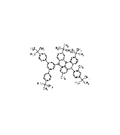 Cc1cc2c3c(c1)N(c1ccc(C(C)(C)C)cc1C)c1ccc(C(C)(C)C)cc1B3c1cc(C(C)(C)C)ccc1N2c1cc(-c2ccc(C(C)(C)C)cc2)cc(-c2ccc(C(C)(C)C)cc2)c1